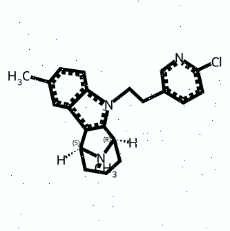 Cc1ccc2c(c1)c1c(n2CCc2ccc(Cl)nc2)[C@H]2CCC[C@@H]1N2C